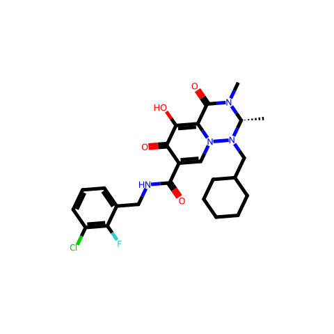 C[C@H]1N(C)C(=O)c2c(O)c(=O)c(C(=O)NCc3cccc(Cl)c3F)cn2N1CC1CCCCC1